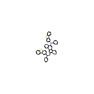 C1=CCCC(C(Cc2cc3c4c(c(N(c5ccccc5)c5ccc6sc7ccccc7c6c5)cc3c3c2CCC=C3)CCC=C4)C2=CC3c4ccccc4SC3C=C2)=C1